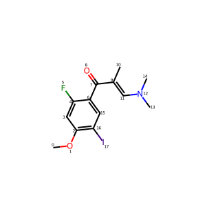 COc1cc(F)c(C(=O)C(C)=CN(C)C)cc1I